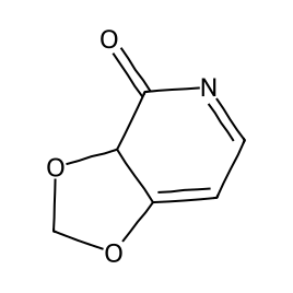 O=C1N=CC=C2OCOC12